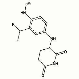 CCCNc1ccc(NC2CCC(=O)NC2=O)cc1C(F)F